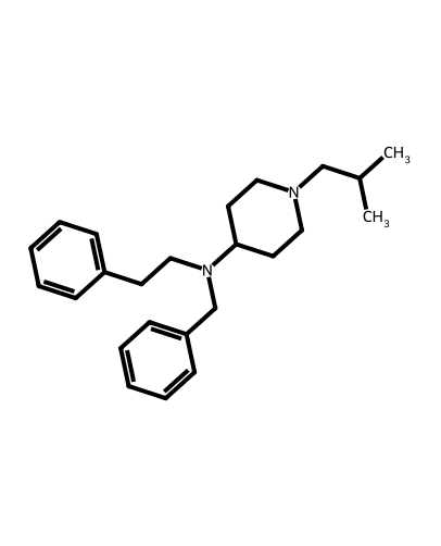 CC(C)CN1CCC(N(CCc2ccccc2)Cc2ccccc2)CC1